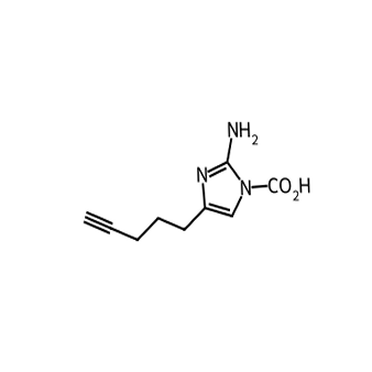 C#CCCCc1cn(C(=O)O)c(N)n1